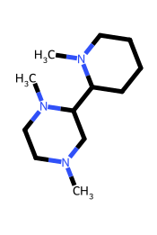 CN1CCN(C)C(C2CCCCN2C)C1